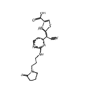 N#CC(=C1NC(C(=O)O)=CS1)c1ccnc(NCCCN2CCCC2=O)n1